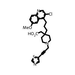 COc1ccc2ncc(Cl)c(CCCC3(CC(=O)O)CCN(CC#Cc4cncs4)CC3)c2c1